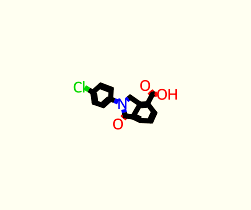 O=C(O)c1cccc2c1CN(c1ccc(Cl)cc1)C2=O